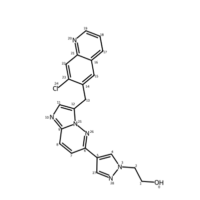 OCCn1cc(-c2ccc3ncc(Cc4cc5cccnc5cc4Cl)n3n2)cn1